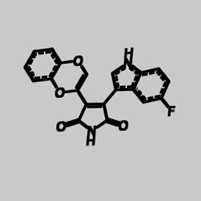 O=C1NC(=O)C(c2c[nH]c3ccc(F)cc23)=C1C1=COc2ccccc2O1